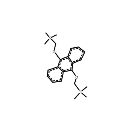 CS(C)(C)COc1c2ccccc2c(OCS(C)(C)C)c2ccccc12